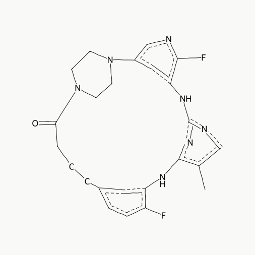 Cc1cnc2nc1Nc1cc(ccc1F)CCCC(=O)N1CCN(CC1)c1cnc(F)c(c1)N2